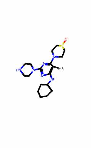 O=[N+]([O-])c1c(NC2CCCCC2)nc(N2CCNCC2)nc1N1CC[S+]([O-])CC1